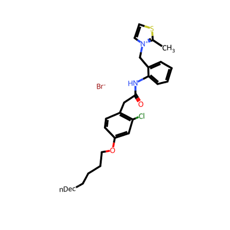 CCCCCCCCCCCCCCOc1ccc(CC(=O)Nc2ccccc2C[n+]2ccsc2C)c(Cl)c1.[Br-]